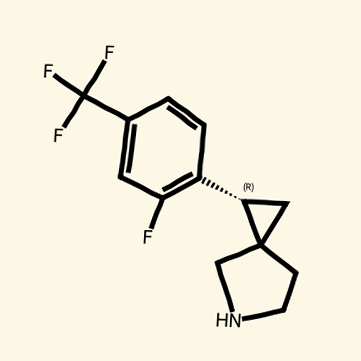 Fc1cc(C(F)(F)F)ccc1[C@@H]1CC12CCNC2